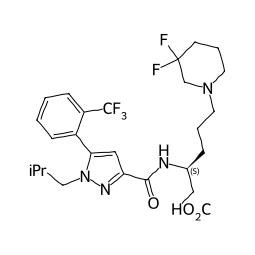 CC(C)Cn1nc(C(=O)N[C@@H](CCCN2CCCC(F)(F)C2)CC(=O)O)cc1-c1ccccc1C(F)(F)F